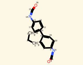 CCC.O=C=Nc1ccc(-c2ccc(N=C=O)cc2)cc1